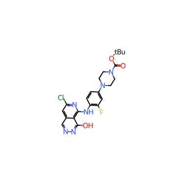 CC(C)(C)OC(=O)N1CCN(c2ccc(Nc3nc(Cl)cc4cnnc(O)c34)c(F)c2)CC1